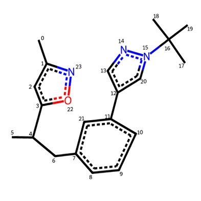 Cc1cc(C(C)Cc2cccc(-c3cnn(C(C)(C)C)c3)c2)on1